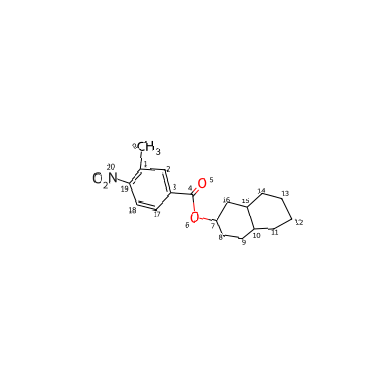 Cc1cc(C(=O)OC2CCC3CCCCC3C2)ccc1[N+](=O)[O-]